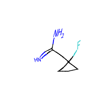 N=C(N)C1(F)CC1